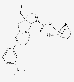 CCC1(CC)Cc2cc(-c3cccc(N(C)C)c3)ccc2C1NC(=O)O[C@H]1CN2CCC1CC2